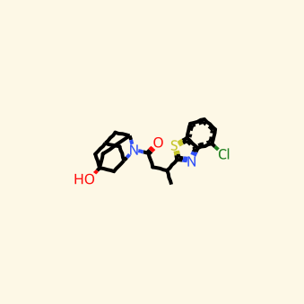 CC(CC(=O)N1C2CC3CC1CC(O)(C3)C2)c1nc2c(Cl)cccc2s1